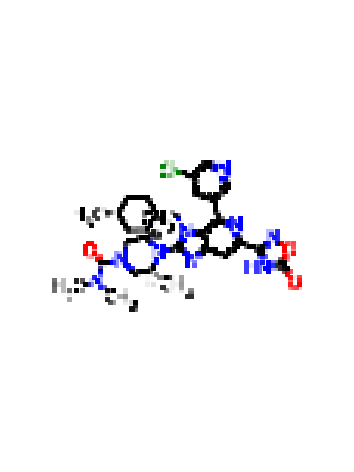 C[C@@H]1CN(C(=O)N(C)C)C[C@@H](C)N1c1nc2cc(-c3noc(=O)[nH]3)nc(-c3cncc(Cl)c3)c2n1C[C@H]1CC[C@H](C)CC1